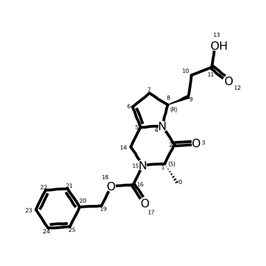 C[C@H]1C(=O)N2C(=CC[C@H]2CCC(=O)O)CN1C(=O)OCc1ccccc1